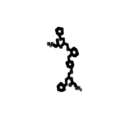 C=CC(=O)OC(COc1ccc(Cc2ccccc2OCC(CSc2ccccc2)OC(=O)C=C)cc1)CSc1ccccc1